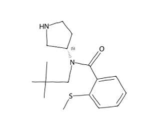 CSc1ccccc1C(=O)N(CC(C)(C)C)[C@H]1CCNC1